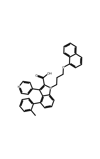 Cc1ccccc1-c1cccc2c1c(-c1ccncc1)c(C(=O)O)n2CCCOc1cccc2ccccc12